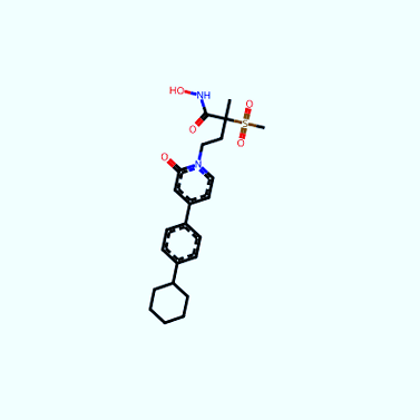 CC(CCn1ccc(-c2ccc(C3CCCCC3)cc2)cc1=O)(C(=O)NO)S(C)(=O)=O